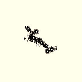 O=C(NP(=O)(O)c1ccc(N[C@H](CCN2CCOCC2)CSc2ccccc2)c(S(=O)(=O)C(F)(F)F)c1)c1ccc(N2CCN(Cc3ccccc3-c3ccc(Cl)cc3)CC2)cc1